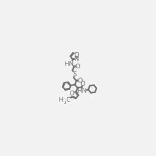 Cc1ccc(C(C(=O)NC2CCCCC2)C(C(=O)CSCC(=O)Nc2ccon2)c2ccccc2)o1